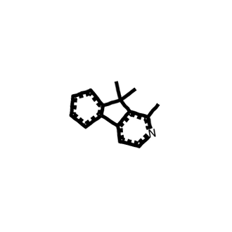 Cc1nccc2c1C(C)(C)c1ccccc1-2